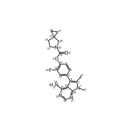 Cn1c(I)c(-c2ccc(OC(=O)N3CCC4(CC4)C3)c(F)c2)c2c(N)ncnc21